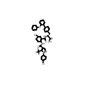 O=C(N[C@@H](Cc1ccc(-c2ccccc2Oc2ccccc2)cc1)C(=O)O)c1cc(Cl)ccc1NC(=O)c1cnn(-c2ccc(Cl)cc2)c1C(F)(F)F